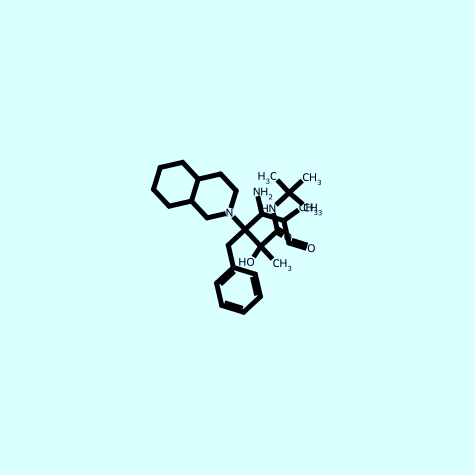 CC(C=O)[C](N)C(Cc1ccccc1)(N1CCC2CCCCC2C1)C(C)(O)C(=O)NC(C)(C)C